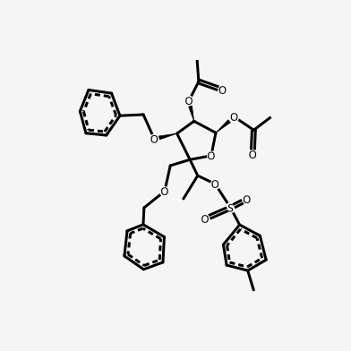 CC(=O)O[C@H]1OC(COCc2ccccc2)(C(C)OS(=O)(=O)c2ccc(C)cc2)[C@@H](OCc2ccccc2)[C@H]1OC(C)=O